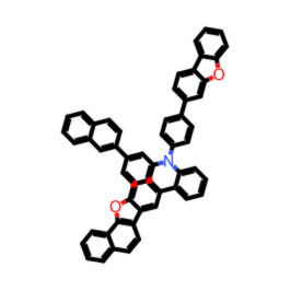 c1cc(-c2ccc3ccccc3c2)cc(N(c2ccc(-c3ccc4c(c3)oc3ccccc34)cc2)c2ccccc2-c2ccc3oc4c5ccccc5ccc4c3c2)c1